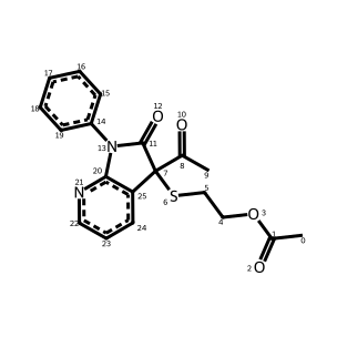 CC(=O)OCCSC1(C(C)=O)C(=O)N(c2ccccc2)c2ncccc21